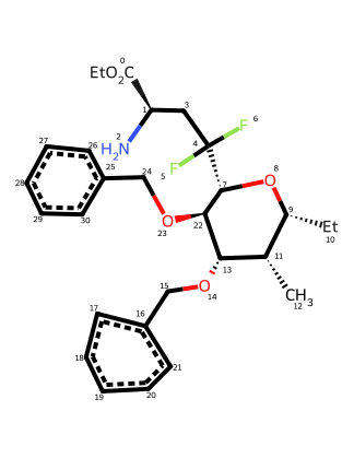 CCOC(=O)[C@H](N)CC(F)(F)[C@@H]1O[C@H](CC)[C@H](C)[C@H](OCc2ccccc2)[C@H]1OCc1ccccc1